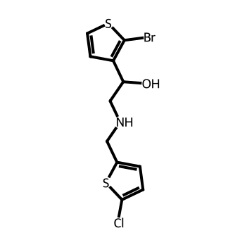 OC(CNCc1ccc(Cl)s1)c1ccsc1Br